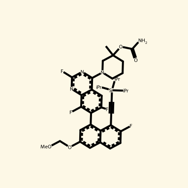 COCOc1cc(-c2c(F)cc3c(N4CCCC(C)(OC(N)=O)C4)nc(F)nc3c2F)c2c(C#C[Si](C(C)C)(C(C)C)C(C)C)c(F)ccc2c1